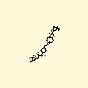 CC1C=C(CC(=O)NC2CCC(CCN3CCc4nc(OCC(C)(F)F)sc4CC3)CC2)ON1